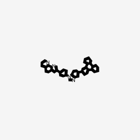 c1cnc2c(c1)ccc1cc(-c3ccc(-n4cnc5cc(-c6ccc7c8ccccc8c8ccccc8c7c6)ccc54)cc3)cnc12